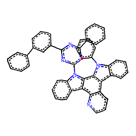 c1ccc(-c2cccc(-c3nc(-c4ccccc4)nc(-n4c5ccccc5c5c6ncccc6c6c7ccccc7n(-c7ccccc7)c6c54)n3)c2)cc1